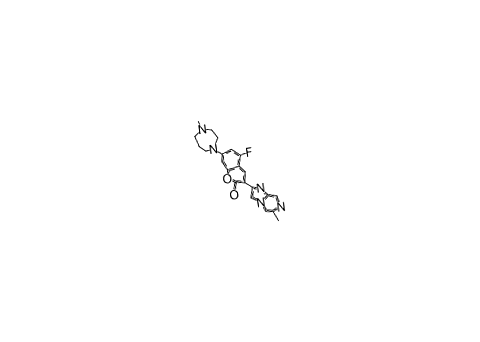 Cc1cn2cc(-c3cc4c(F)cc(N5CCCN(C)CC5)cc4oc3=O)nc2cn1